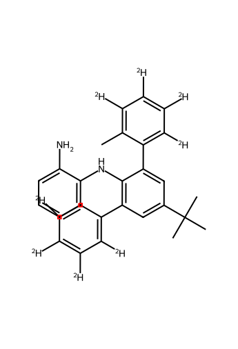 [2H]c1cc(-c2cc(C(C)(C)C)cc(-c3c([2H])c([2H])c([2H])c([2H])c3C)c2Nc2ccccc2N)c([2H])c([2H])c1[2H]